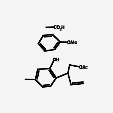 C=CC(COC(C)=O)c1ccc(C)cc1O.CC(=O)O.COc1ccccc1